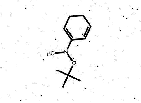 CC(C)(C)ON(O)C1=CCCC=C1